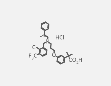 C[C@H](CN(CCCOc1cccc(C(C)(C)C(=O)O)c1)Cc1cccc(C(F)(F)F)c1Cl)c1ccccc1.Cl